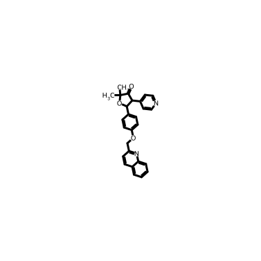 CC1(C)OC(c2ccc(OCc3ccc4ccccc4n3)cc2)C(c2ccncc2)C1=O